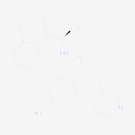 C[C@@H](NC(=O)N(Cc1cccnc1)C1CCN(C)CC1)c1cccc2ccccc12